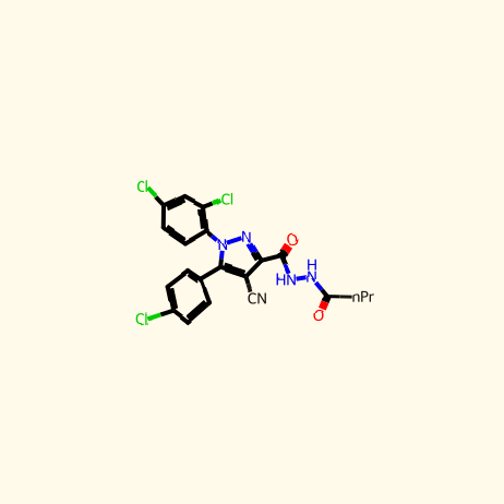 CCCC(=O)NNC(=O)c1nn(-c2ccc(Cl)cc2Cl)c(-c2ccc(Cl)cc2)c1C#N